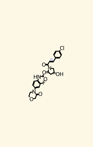 O=C(Nc1ccc(N2CCOCC2=O)cc1F)O[C@@H]1C[C@@H](O)CN1C(=O)/C=C/c1ccc(Cl)cc1